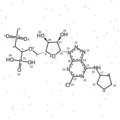 CS(=O)(=O)CC(OC[C@H]1O[C@@H](n2nnc3c(NC4CCCC4)nc(Cl)nc32)[C@H](O)[C@@H]1O)P(=O)(O)O